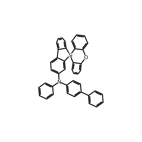 c1ccc(-c2ccc(N(c3ccccc3)c3ccc4c(c3)[Si]3(c5ccccc5Oc5ccccc53)c3ccccc3-4)cc2)cc1